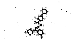 Cc1nc(-c2ccccn2)ncc1C(=O)Nn1cc(C2=CCNCC2)c2cc(F)ccc21